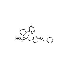 O=C(O)C(Cc1ccc(OCc2ccccc2)cc1)CC1(c2ccccn2)CCCCC1